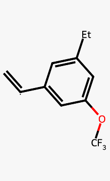 C=[C]c1cc(CC)cc(OC(F)(F)F)c1